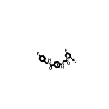 N#C[C@@H]1C[C@H](F)CN1C(=O)CNC12CCC(C(=O)NCc3ccc(F)cc3)(CC1)CC2